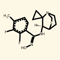 Cc1ccc(/C(=N\O)N[C@@H]2C3CCN(CC3)C23CC3)c(F)c1F